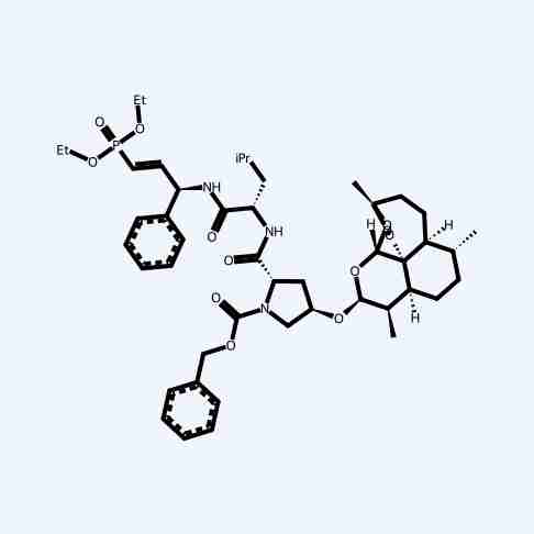 CCOP(=O)(/C=C/[C@@H](NC(=O)[C@H](CC(C)C)NC(=O)[C@@H]1C[C@@H](O[C@H]2O[C@@H]3O[C@@]4(C)CC[C@H]5[C@H](C)CC[C@@H]([C@H]2C)[C@@]35OO4)CN1C(=O)OCc1ccccc1)c1ccccc1)OCC